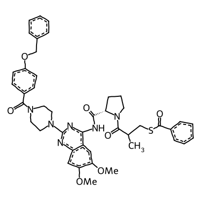 COc1cc2nc(N3CCN(C(=O)c4ccc(OCc5ccccc5)cc4)CC3)nc(NC(=O)[C@@H]3CCCN3C(=O)C(C)CSC(=O)c3ccccc3)c2cc1OC